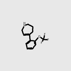 FC(F)(F)Oc1ccccc1C1=CCNCCC1